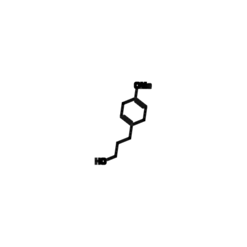 COC1=CCC(CCCO)=CC1